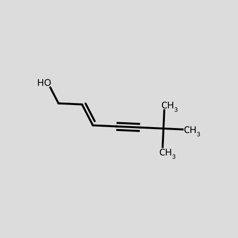 CC(C)(C)C#CC=CCO